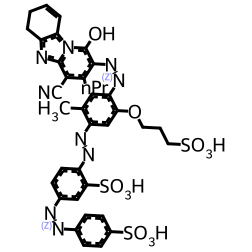 CCCc1c(/N=N\c2cc(C)c(N=Nc3ccc(/N=N\c4ccc(S(=O)(=O)O)cc4)cc3S(=O)(=O)O)cc2OCCCS(=O)(=O)O)c(O)n2c3c(nc2c1C#N)CCC=C3